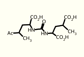 CC(=O)C(C)CC(NC(=O)NC(CC(C)C(=O)O)C(=O)O)C(=O)O